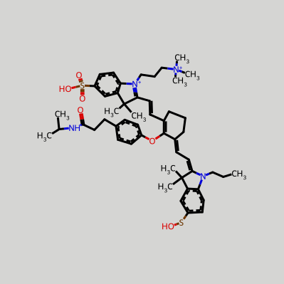 CCCN1/C(=C/C=C2\CCCC(/C=C/C3=[N+](CCC[N+](C)(C)C)c4ccc(S(=O)(=O)O)cc4C3(C)C)=C2Oc2ccc(CCC(=O)NC(C)C)cc2)C(C)(C)c2cc(SO)ccc21